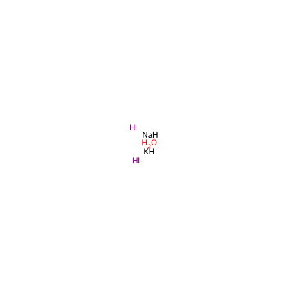 I.I.O.[KH].[NaH]